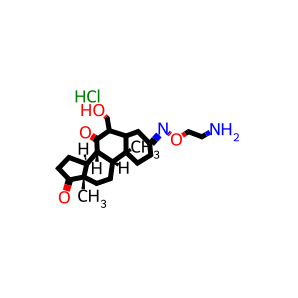 C[C@]12CCC(=NOCCN)CC1C(CO)C(=O)[C@@H]1[C@H]2CC[C@]2(C)C(=O)CC[C@@H]12.Cl